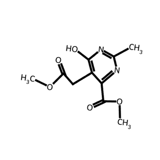 COC(=O)Cc1c(O)nc(C)nc1C(=O)OC